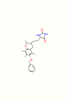 Cc1c(C)c2c(c(C)c1OCc1ccccc1)CC(CCC1NC(=O)NC1=O)C(C)O2